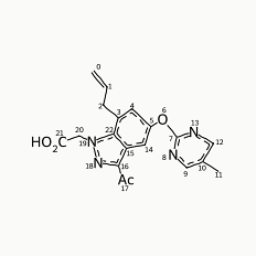 C=CCc1cc(Oc2ncc(C)cn2)cc2c(C(C)=O)nn(CC(=O)O)c12